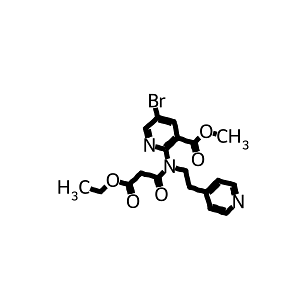 CCOC(=O)CC(=O)N(CCc1ccncc1)c1ncc(Br)cc1C(=O)OC